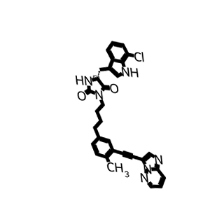 Cc1ccc(CCCCN2C(=O)N[C@H](Cc3c[nH]c4c(Cl)cccc34)C2=O)cc1C#Cc1cnc2cccnn12